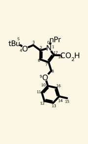 CCCn1c(COC(C)(C)C)cc(COc2cccc(C)c2)c1C(=O)O